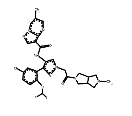 Cc1cnc2c(C(=O)Nc3cn(CC(=O)N4CC5CN(C)CC5C4)nc3-c3cc(Cl)ccc3OC(F)F)cnn2c1